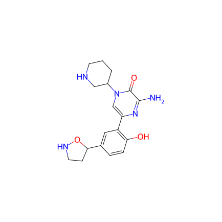 Nc1nc(-c2cc(C3CCNO3)ccc2O)cn(C2CCCNC2)c1=O